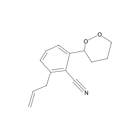 C=CCc1cccc(C2CCCOO2)c1C#N